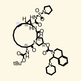 CC(C)(C)OC(=O)N[C@H]1CCCCC/C=C\[C@@H]2C[C@@]2(C(=O)NS(=O)(=O)N2CCCC2)NC(=O)[C@@H]2C[C@@H](OC(=O)N3CCc4ccccc4C3CN3CCCCC3)CN2C1=O